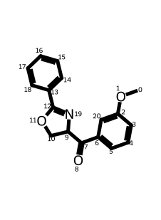 COc1cccc(C(=O)C2COC(c3ccccc3)=N2)c1